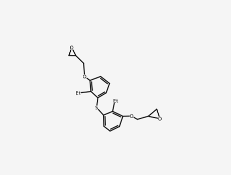 CCc1c(OCC2CO2)cccc1Sc1cccc(OCC2CO2)c1CC